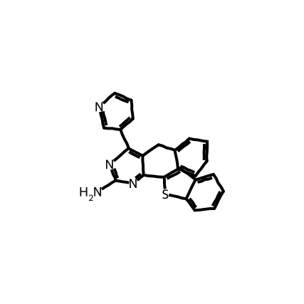 Nc1nc(-c2cccnc2)c(Cc2ccccc2)c(-c2cc3ccccc3s2)n1